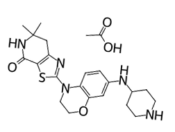 CC(=O)O.CC1(C)Cc2nc(N3CCOc4cc(NC5CCNCC5)ccc43)sc2C(=O)N1